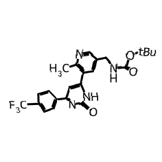 Cc1ncc(CNC(=O)OC(C)(C)C)cc1-c1cc(-c2ccc(C(F)(F)F)cc2)nc(=O)[nH]1